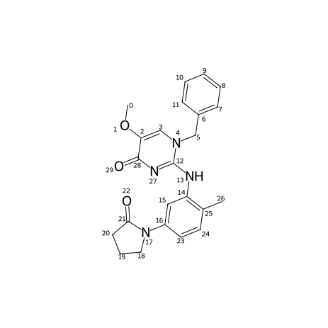 COc1cn(Cc2ccccc2)c(Nc2cc(N3CCCC3=O)ccc2C)nc1=O